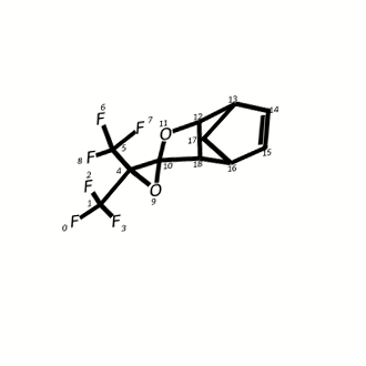 FC(F)(F)C1(C(F)(F)F)OC12OC1C3C=CC(C3)C12